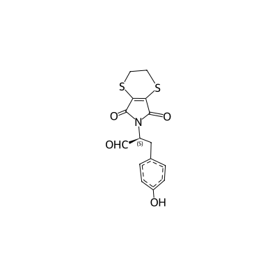 O=C[C@H](Cc1ccc(O)cc1)N1C(=O)C2=C(SCCS2)C1=O